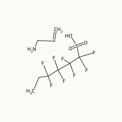 C=CCN.CCC(F)(F)C(F)(F)C(F)(F)C(F)(F)S(=O)(=O)O